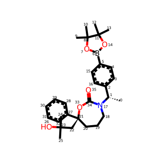 C[C@@H](c1ccc(B2OC(C)(C)C(C)(C)O2)cc1)N1CCC[C@](CC(C)(C)O)(c2ccccc2)OC1=O